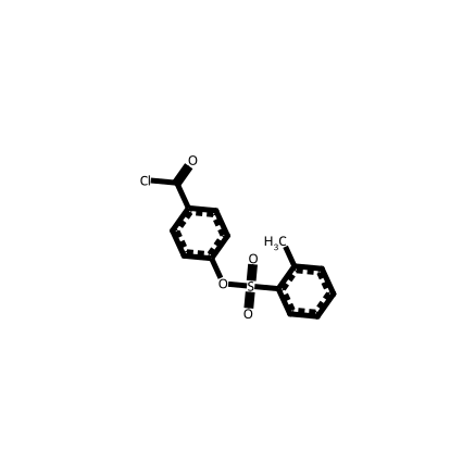 Cc1ccccc1S(=O)(=O)Oc1ccc(C(=O)Cl)cc1